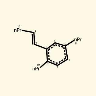 CCCC=Cc1cc(CCC)ccc1CCC